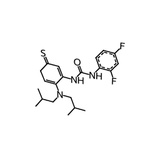 CC(C)CN(CC(C)C)C1=CCC(=S)C=C1NC(=O)Nc1ccc(F)cc1F